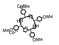 COc1ccc(-c2c3nc(c(-c4ccc(OC)cc4)c4ccc([nH]4)c(-c4ccc(OC)cc4)c4nc(c(-c5ccc(OC)cc5)c5ccc2[nH]5)C=C4)C=C3)cc1.[Co+2].[Co+2]